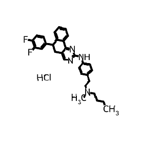 CCCCN(C)CCc1ccc(Nc2ncc3c(n2)-c2ccccc2C(c2ccc(F)c(F)c2)C3)cc1.Cl